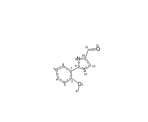 COc1ccccc1-c1nc(C=O)cs1